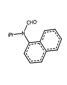 CC(C)N([C]=O)c1cccc2ccccc12